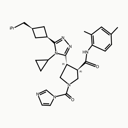 Cc1ccc(NC(=O)[C@H]2CN(C(=O)n3ccnc3)C[C@@H]2c2nnc([C@H]3C[C@@H](CC(C)C)C3)n2C2CC2)c(C)c1